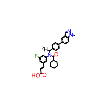 [2H][C@@H](c1ccc(-c2ccc3c(cnn3C)c2)cc1)N(C(=O)C1CCCCC1)c1cc(F)cc(/C=C/C(=O)O)c1